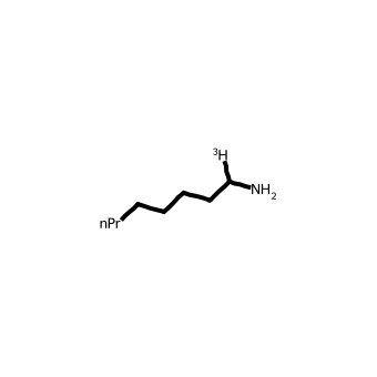 [3H]C(N)CCCCCCC